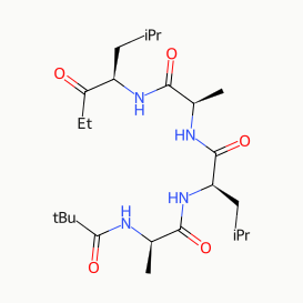 CCC(=O)[C@@H](CC(C)C)NC(=O)[C@@H](C)NC(=O)[C@@H](CC(C)C)NC(=O)[C@@H](C)NC(=O)C(C)(C)C